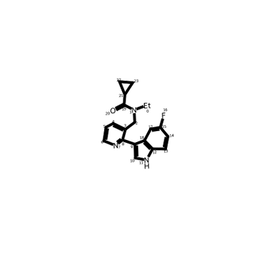 CCN(Cc1cccnc1-c1c[nH]c2ccc(F)cc12)C(=O)C1CC1